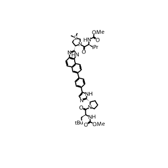 COC(=O)N[C@@H](CC(C)(C)C)C(=O)N1CCC[C@H]1c1ncc(-c2ccc(-c3ccc4c(ccc5nc([C@@H]6C[Si](C)(C)CN6C(=O)[C@@H](NC(=O)OC)C(C)C)[nH]c54)c3)cc2)[nH]1